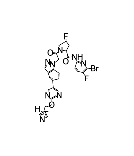 C1=CN=C1.COc1ncc(-c2ccc3c(cnn3CC(=O)N3C[C@H](F)C[C@H]3C(=O)Nc3ccc(F)c(Br)n3)c2)cn1